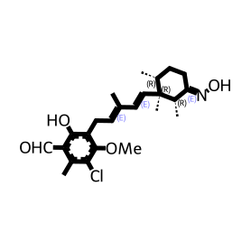 COc1c(Cl)c(C)c(C=O)c(O)c1C/C=C(C)/C=C/[C@@]1(C)[C@H](C)CC/C(=N\O)[C@@H]1C